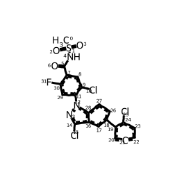 CS(=O)(=O)NC(=O)c1cc(Cl)c(-n2nc(Cl)c3cc(-c4ccccc4Cl)ccc32)cc1F